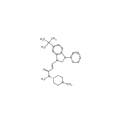 CN1CCC(N(C)C(=O)C=CN2CN(c3ccccc3)c3ccc(C(C)(C)C)cc32)CC1